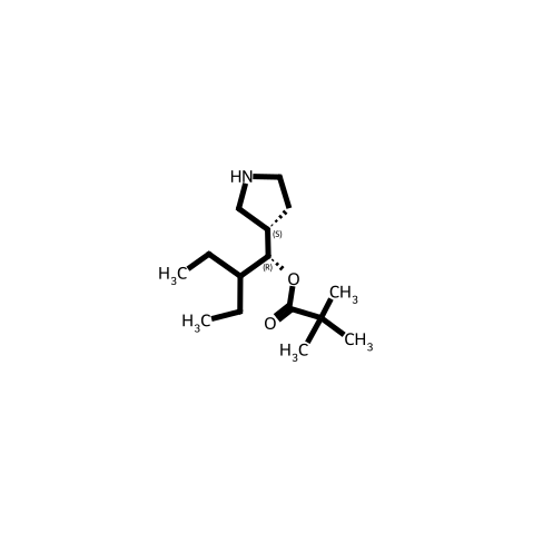 CCC(CC)[C@@H](OC(=O)C(C)(C)C)[C@H]1CCNC1